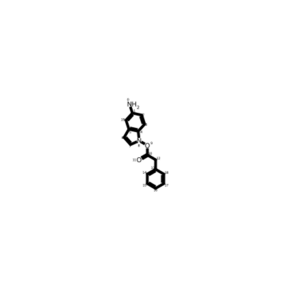 Nc1ccc2c(ccn2OC(=O)Cc2ccccc2)c1